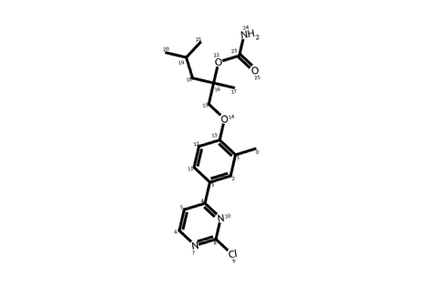 Cc1cc(-c2ccnc(Cl)n2)ccc1OCC(C)(CC(C)C)OC(N)=O